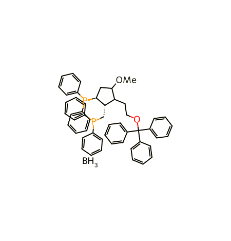 B.COC1C[C@H](P(c2ccccc2)c2ccccc2)[C@@H](CP(c2ccccc2)c2ccccc2)C1CCOC(c1ccccc1)(c1ccccc1)c1ccccc1